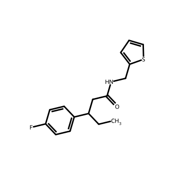 CCC(CC(=O)NCc1cccs1)c1ccc(F)cc1